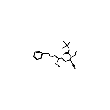 CCN(C(=O)OC(C)(C)C)C(C#N)CCC(COCc1ccccc1)OC